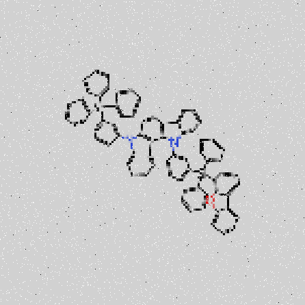 c1ccc([Si](c2ccccc2)(c2ccccc2)c2cccc(-n3c4ccccc4c4c3ccc3c5ccccc5n(-c5cccc([Si](c6ccccc6)(c6ccccc6)c6cccc7c6oc6ccccc67)c5)c34)c2)cc1